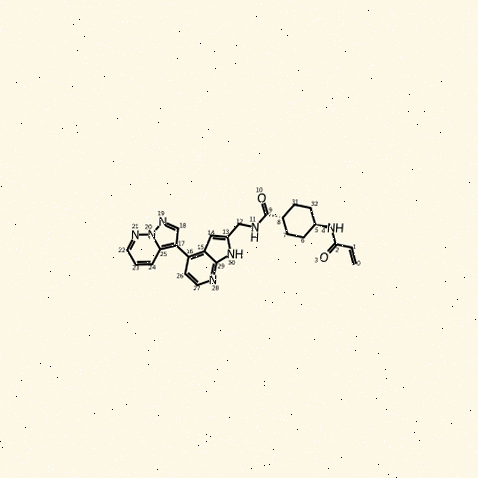 C=CC(=O)N[C@H]1CC[C@H](C(=O)NCc2cc3c(-c4cnn5ncccc45)ccnc3[nH]2)CC1